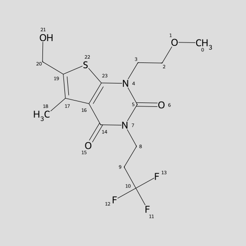 COCCn1c(=O)n(CCC(F)(F)F)c(=O)c2c(C)c(CO)sc21